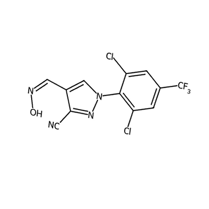 N#Cc1nn(-c2c(Cl)cc(C(F)(F)F)cc2Cl)cc1/C=N\O